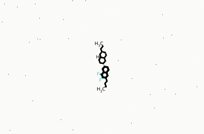 C=CCCc1cc2ccc([C@@H]3CC[C@@H]4CC(CCC)CCC4C3)cc2c(F)c1F